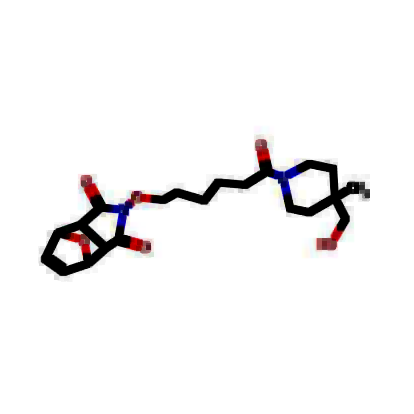 CC1(CO)CCN(C(=O)CCCCCON2C(=O)C3C4C=CC(O4)C3C2=O)CC1